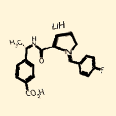 C[C@H](NC(=O)[C@H]1CCCN1Cc1ccc(F)cc1)c1ccc(C(=O)O)cc1.[LiH]